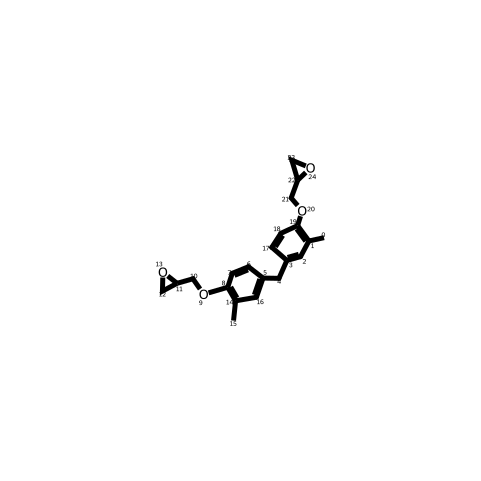 Cc1cc(Cc2ccc(OCC3CO3)c(C)c2)ccc1OCC1CO1